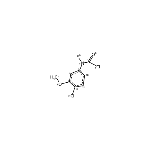 COc1cc(N(F)C(=O)Cl)ccc1Cl